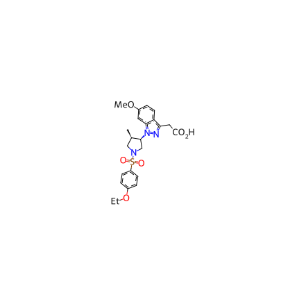 CCOc1ccc(S(=O)(=O)N2C[C@@H](C)[C@@H](n3nc(CC(=O)O)c4ccc(OC)cc43)C2)cc1